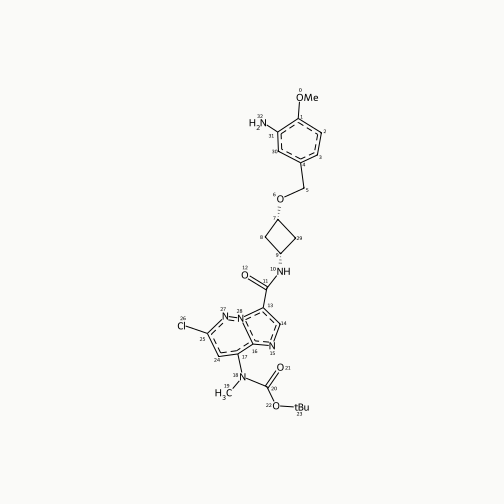 COc1ccc(CO[C@H]2C[C@@H](NC(=O)c3cnc4c(N(C)C(=O)OC(C)(C)C)cc(Cl)nn34)C2)cc1N